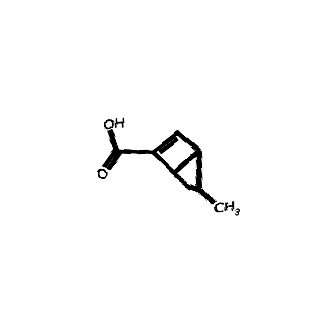 CC1C2C=C(C(=O)O)C12